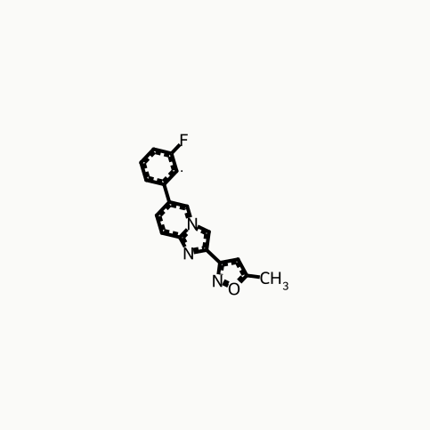 Cc1cc(-c2cn3cc(-c4[c]c(F)ccc4)ccc3n2)no1